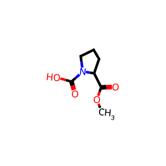 COC(=O)C1CCCN1C(=O)O